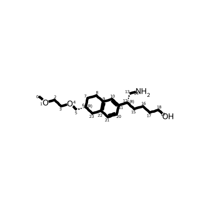 COCCOC[C@@H]1CCc2cc([C@H](CN)CCCCO)ccc2C1